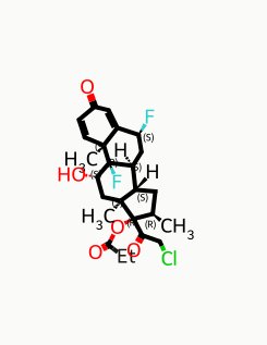 CCC(=O)O[C@]1(C(=O)CCl)[C@H](C)C[C@H]2[C@@H]3C[C@H](F)C4=CC(=O)C=C[C@]4(C)[C@@]3(F)[C@@H](O)C[C@@]21C